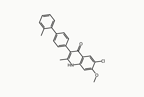 COc1cc2[nH]c(C)c(-c3ccc(-c4ccccc4C)cc3)c(=O)c2cc1Cl